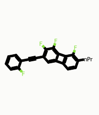 CCCc1ccc2c(c1F)-c1c-2cc(C#Cc2ccccc2F)c(F)c1F